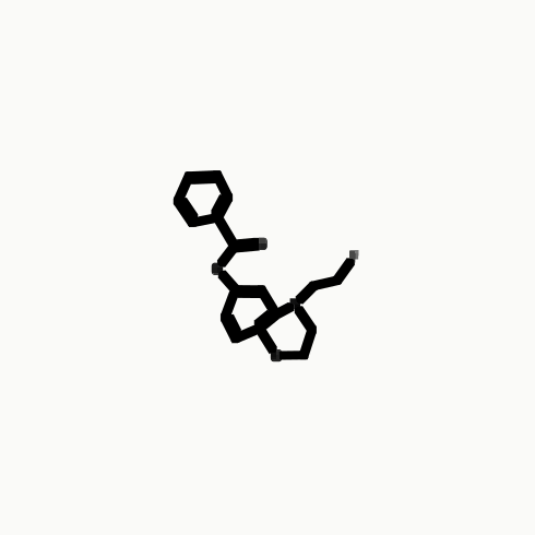 O=C(Oc1ccc2c(c1)N(CCF)CCO2)c1ccccc1